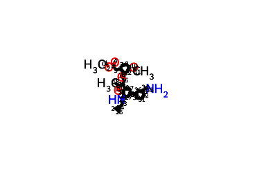 CCOC(=O)Cc1ccc(OC)cc1OCc1c(C)oc2c(NCC3CC3)cc(-c3cccc(CN)c3)cc12